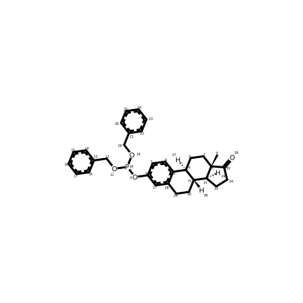 C[C@]12CC[C@@H]3c4ccc(OP(OCc5ccccc5)OCc5ccccc5)cc4CC[C@H]3[C@@H]1CCC2=O